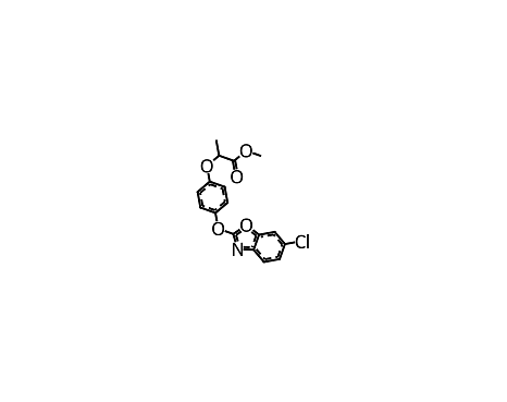 COC(=O)C(C)Oc1ccc(Oc2nc3ccc(Cl)cc3o2)cc1